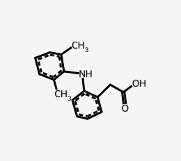 Cc1cccc(C)c1Nc1ccccc1CC(=O)O